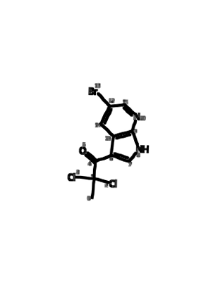 CC(Cl)(Cl)C(=O)c1c[nH]c2ncc(Br)cc12